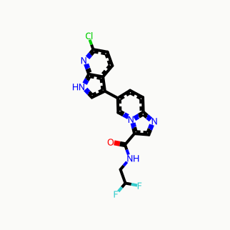 O=C(NCC(F)F)c1cnc2ccc(-c3c[nH]c4nc(Cl)ccc34)cn12